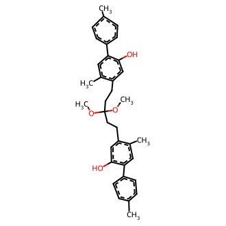 COC(CCc1cc(O)c(-c2ccc(C)cc2)cc1C)(CCc1cc(O)c(-c2ccc(C)cc2)cc1C)OC